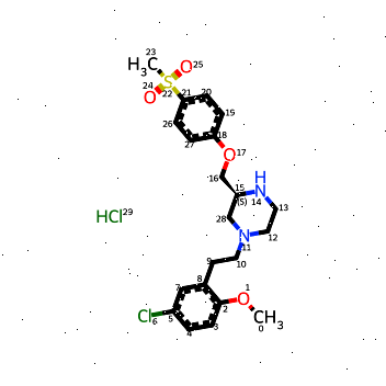 COc1ccc(Cl)cc1CCN1CCN[C@H](COc2ccc(S(C)(=O)=O)cc2)C1.Cl